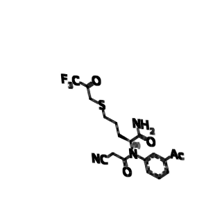 CC(=O)c1cccc(N(C(=O)CC#N)[C@@H](CCCSCC(=O)C(F)(F)F)C(N)=O)c1